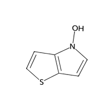 On1ccc2sccc21